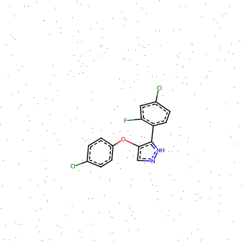 Fc1cc(Cl)ccc1-c1[nH]ncc1Oc1ccc(Cl)cc1